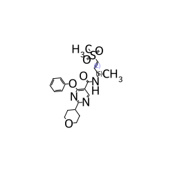 C[C@@H](/C=C/S(C)(=O)=O)NC(=O)c1cnc(C2CCOCC2)nc1Oc1ccccc1